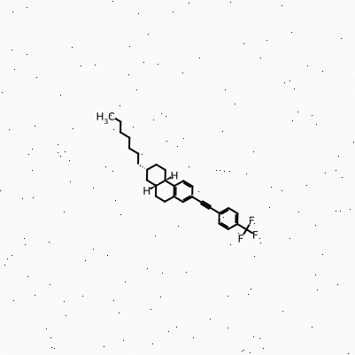 CCCCCCC[C@@H]1CC[C@@H]2c3ccc(C#Cc4ccc(C(F)(F)F)cc4)cc3CC[C@@H]2C1